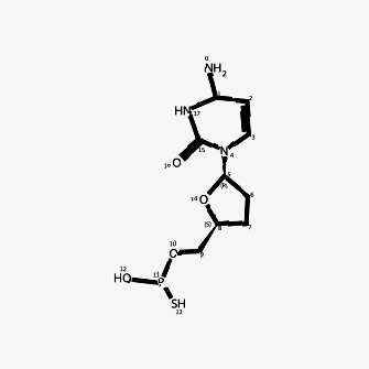 NC1C=CN([C@H]2CC[C@@H](COP(O)S)O2)C(=O)N1